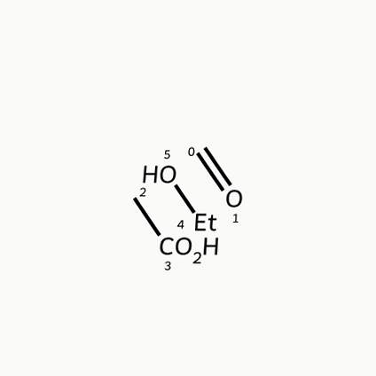 C=O.CC(=O)O.CCO